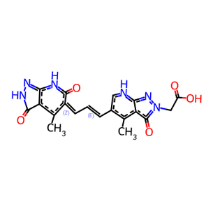 Cc1c(/C=C/C=c2/c(C)c3c([nH]c2=O)=NNC3=O)c[nH]c2nn(CC(=O)O)c(=O)c1-2